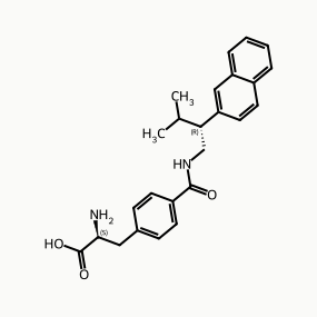 CC(C)[C@@H](CNC(=O)c1ccc(C[C@H](N)C(=O)O)cc1)c1ccc2ccccc2c1